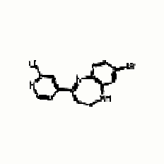 Clc1cc(C2=Nc3ccc(Br)cc3NCC2)ccn1